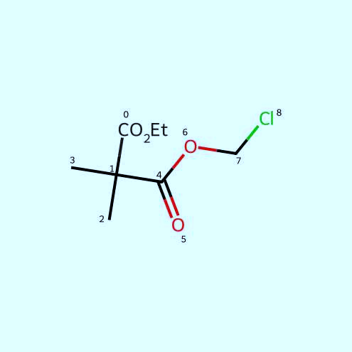 CCOC(=O)C(C)(C)C(=O)OCCl